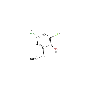 COCc1cc(Cl)cc(F)c1Br